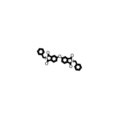 O=C1c2ccc(Oc3ccc4c(c3)C(=O)N(Cc3ccccc3)C4=O)cc2C(=O)N1Cc1ccccc1